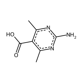 Cc1nc(N)nc(C)c1C(=O)O